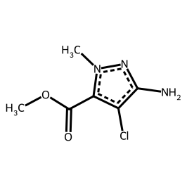 COC(=O)c1c(Cl)c(N)nn1C